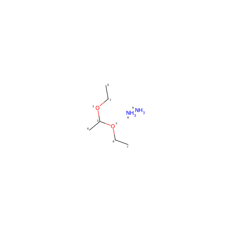 CCOC(C)OCC.N.N